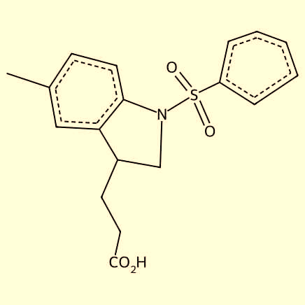 Cc1ccc2c(c1)C(CCC(=O)O)CN2S(=O)(=O)c1ccccc1